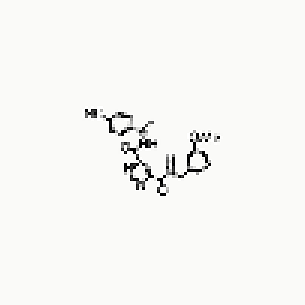 COc1cccc(CNC(=O)c2cc(C(=O)N[C@H](C)c3ccc(C#N)cc3)ncn2)c1